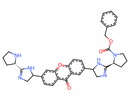 O=C(OCc1ccccc1)N1CCC[C@H]1C1=NCC(c2ccc3oc4cc(C5CN=C([C@@H]6CCCN6)N5)ccc4c(=O)c3c2)N1